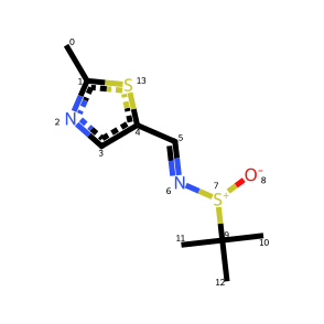 Cc1ncc(C=N[S+]([O-])C(C)(C)C)s1